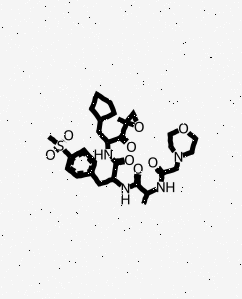 CC(NC(=O)CN1CCOCC1)C(=O)NC(Cc1ccc(S(C)(=O)=O)cc1)C(=O)NC(CC1CCCC1)C(=O)C1(C)CO1